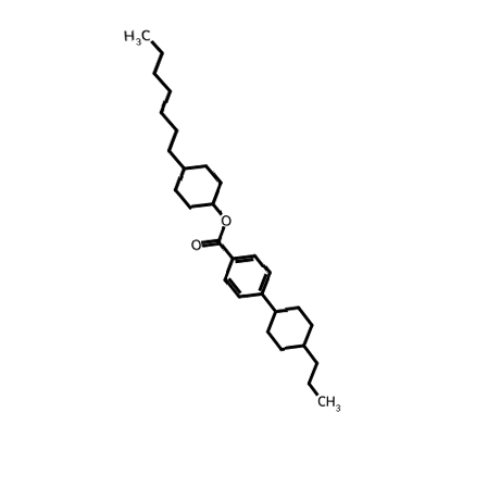 CCCCCCCC1CCC(OC(=O)c2ccc(C3CCC(CCC)CC3)cc2)CC1